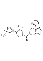 Cc1cc(C(=O)N2CC[C@@]3(c4nccs4)OCOC3C2)ccc1OCC(C)(C)F